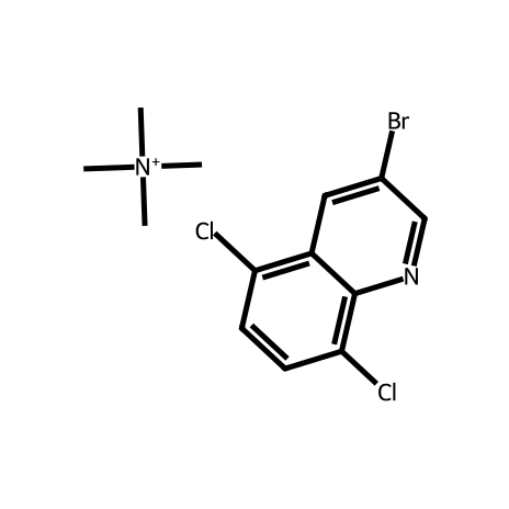 C[N+](C)(C)C.Clc1ccc(Cl)c2ncc(Br)cc12